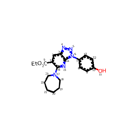 CCOC(=O)c1cc2nnn(-c3ccc(O)cc3)c2nc1N1CCCCCC1